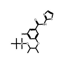 CC(Oc1cc(I)cc(C(=O)Nc2nccs2)c1)C(C)O[Si](C)(C)C(C)(C)C